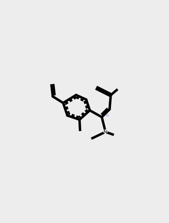 C=Cc1ccc(/C(=C\C(=C)C)N(C)C)c(C)c1